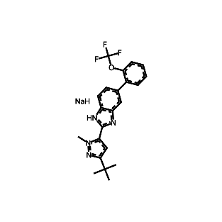 Cn1nc(C(C)(C)C)cc1-c1nc2cc(-c3ccccc3OC(F)(F)F)ccc2[nH]1.[NaH]